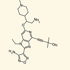 CCn1c(-c2nonc2N)nc2c(C#CC(C)(C)O)nc(OC(CN)C3CCN(C)CC3)cc21